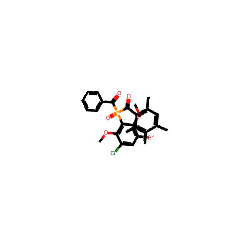 COc1c(Cl)cc(Br)c(OC)c1P(=O)(C(=O)c1ccccc1)C(=O)c1c(C)cc(C)c(C)c1C